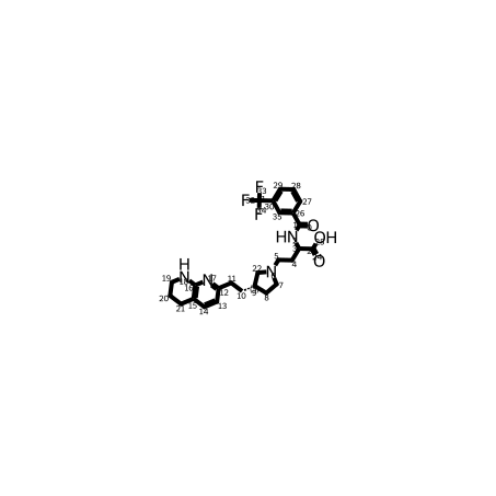 O=C(NC(CCN1CC[C@H](CCc2ccc3c(n2)NCCC3)C1)C(=O)O)c1cccc(C(F)(F)F)c1